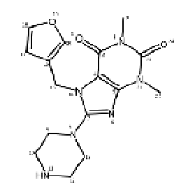 Cn1c(=O)c2c(nc(N3CCNCC3)n2Cc2ccoc2)n(C)c1=O